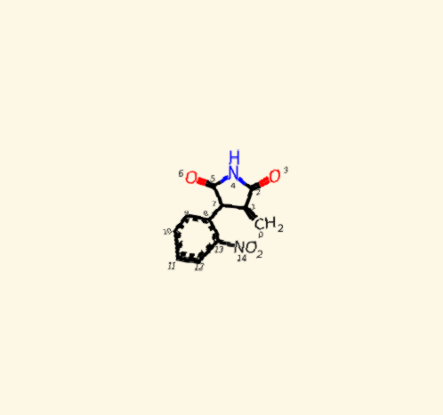 C=C1C(=O)NC(=O)C1c1ccccc1[N+](=O)[O-]